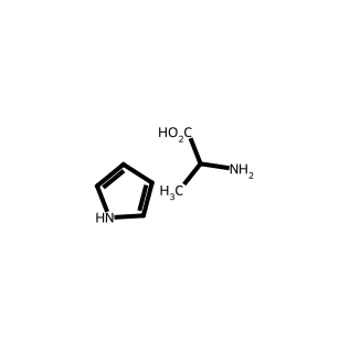 CC(N)C(=O)O.c1cc[nH]c1